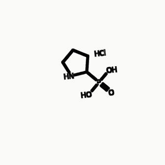 Cl.O=P(O)(O)C1CCCN1